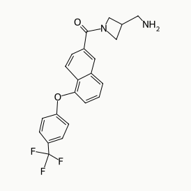 NCC1CN(C(=O)c2ccc3c(Oc4ccc(C(F)(F)F)cc4)cccc3c2)C1